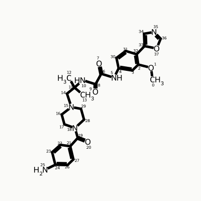 COc1cc(NC(=O)C(=O)NC(C)(C)CN2CCN(C(=O)c3ccc(N)cc3)CC2)ccc1-c1cnco1